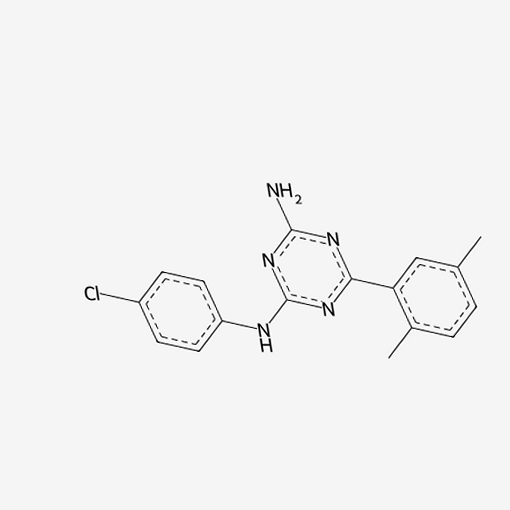 Cc1ccc(C)c(-c2nc(N)nc(Nc3ccc(Cl)cc3)n2)c1